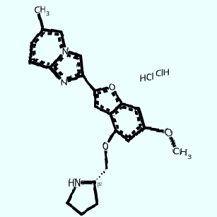 COc1cc(OC[C@@H]2CCCN2)c2cc(-c3cn4cc(C)ccc4n3)oc2c1.Cl.Cl